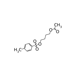 CC(=O)OCCCCOS(=O)(=O)c1ccc(C)cc1